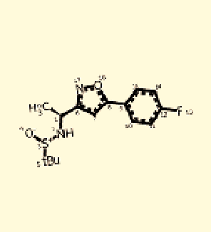 C[C@H](N[S+]([O-])C(C)(C)C)c1cc(-c2ccc(F)cc2)on1